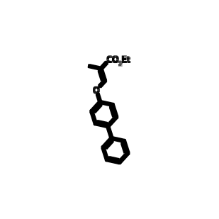 CCOC(=O)/C(C)=C/Oc1ccc(-c2ccccc2)cc1